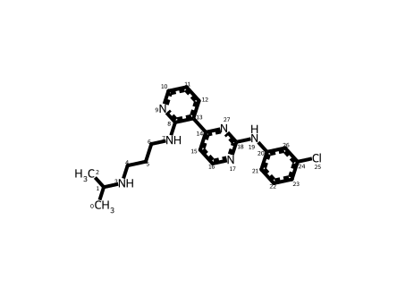 CC(C)NCCCNc1ncccc1-c1ccnc(Nc2cccc(Cl)c2)n1